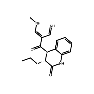 CCC[C@H]1C(=O)Nc2ccccc2N1C(=O)/C(C=N)=C/NC